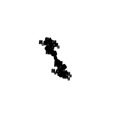 CC(C)[C@H](NC(=O)N(C)C)C(=O)N1CCC[C@H]1c1nc2cc(C#Cc3ccc4nc([C@@H]5CCCN5C(=O)[C@@H](NC(=O)N(C)C)C(C)C)[nH]c4c3)ccc2[nH]1